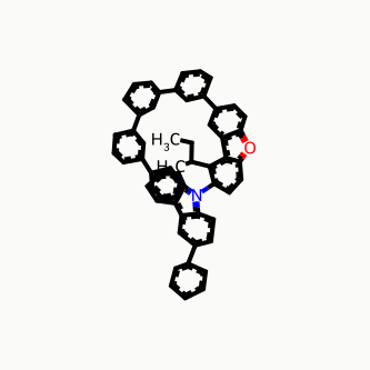 CCC(C)c1c(-n2c3ccccc3c3cc(-c4ccccc4)ccc32)ccc2oc3ccc(-c4cccc(-c5cccc(-c6cccc(-c7ccccc7)c6)c5)c4)cc3c12